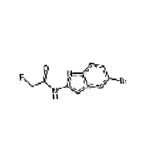 O=C(CF)Nc1cn2cc(Br)ccc2n1